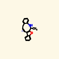 CC1Nc2ccccc2C/C=C\c2c1oc1ccccc21